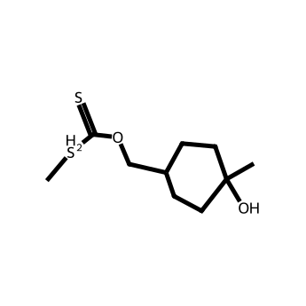 C[SH2]C(=S)OCC1CCC(C)(O)CC1